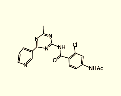 CC(=O)Nc1ccc(C(=O)Nc2nc(C)nc(-c3cccnc3)n2)c(Cl)c1